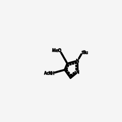 COc1c(NC(C)=O)cnn1C(C)(C)C